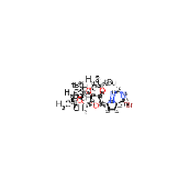 CC(C)(C)[Si](C)(C)OC[C@H]1O[C@H](c2ccc3c(Br)ncnn23)[C@@H](O[Si](C)(C)C(C)(C)C)[C@@H]1O[Si](C)(C)C(C)(C)C